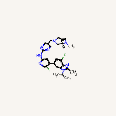 Cc1nc2c(F)cc(-c3cc(Nc4ncc(CN5CC6=CN(C)[C@@H]6C5)cn4)ncc3F)cc2n1C(C)C